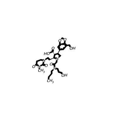 CCCCN(CCCO)C(=O)CN1C[C@H](c2cc(CO)c3c(c2)OCO3)[C@@H](C(=O)O)[C@@H]1CCN1CCC(=O)N(C)C1=O